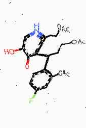 CC(=O)OCCC(c1ccc(F)cc1OC(C)=O)c1c(COC(C)=O)[nH]cc(O)c1=O